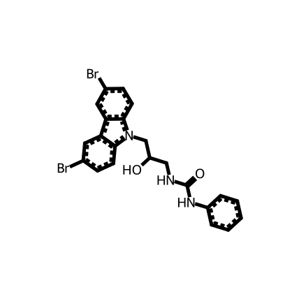 O=C(NCC(O)Cn1c2ccc(Br)cc2c2cc(Br)ccc21)Nc1ccccc1